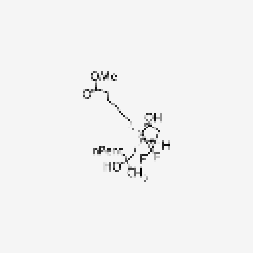 CCCCCC(C)(O)CC[C@]12[C@H](CCCCCCC(=O)OC)[C@@H](O)C[C@H]1C2(F)F